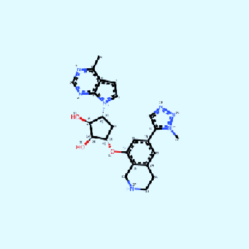 Cc1ncnc2c1ccn2[C@@H]1C[C@H](Oc2cc(-c3cnnn3C)cc3c2CNCC3)[C@@H](O)[C@H]1O